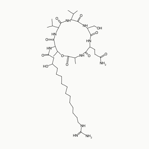 CC1NC(=O)C(CCC(N)=O)NC(=O)C(CO)NC(=O)C(C(C)C)NC(=O)C(C(C)C)NC(=O)C(NC(=O)CC(O)CCCCCCCCCCCCNC(=N)N)C(C)OC1=O